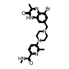 CNC(=O)c1ccc(N2CCN(Cc3cc(Br)c4nc(C)c(=O)[nH]c4c3)CC2)c(C)n1